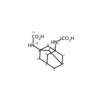 O=C(O)NC12CC3CC(C1)CC(NC(=O)O)(C3)C2